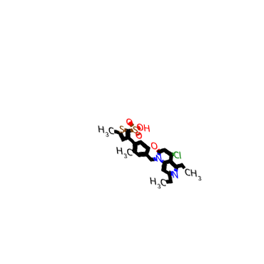 CCc1cc2c(c(Cl)cc(=O)n2Cc2ccc(-c3cc(C)sc3S(=O)(=O)O)c(C)c2)c(CC)n1